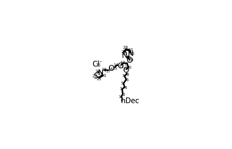 CCCCCCCCCCCCCCCCCCOCC(COCCOCC[n+]1ccsc1)Oc1ncccn1.[Cl-]